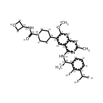 COc1nc2nc(C)nc(N[C@H](C)c3cccc(C(F)F)c3F)c2cc1C1CCN(C(=O)NC2COC2)CC1